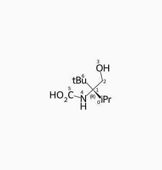 CC(C)[C@@](CO)(NC(=O)O)C(C)(C)C